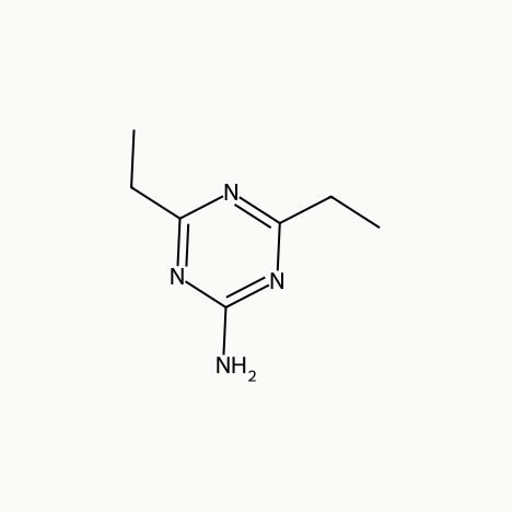 CCc1nc(N)nc(CC)n1